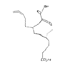 C=CCC(C[C@H](C)CCC(=O)O)C(=O)OC(C)(C)C